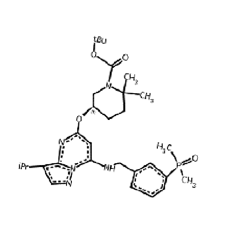 CC(C)c1cnn2c(NCc3cccc(P(C)(C)=O)c3)cc(O[C@@H]3CCC(C)(C)N(C(=O)OC(C)(C)C)C3)nc12